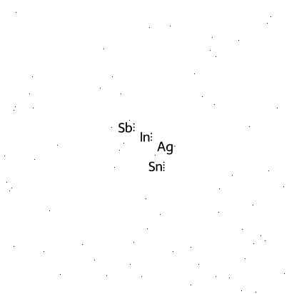 [Ag].[In].[Sb].[Sn]